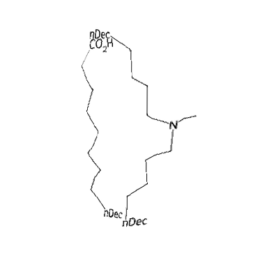 CCCCCCCCCCCCCCCCCC(=O)O.CCCCCCCCCCCCCCN(C)CCCCCCCCCCCCCC